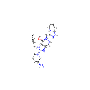 CC#CCn1c(N2CCCC(N)C2)nc2cnn(Cc3nnc4ccccn34)c(=O)c21